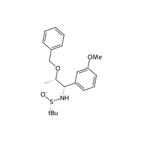 COc1cccc([C@H](N[S@@+]([O-])C(C)(C)C)[C@H](C)OCc2ccccc2)c1